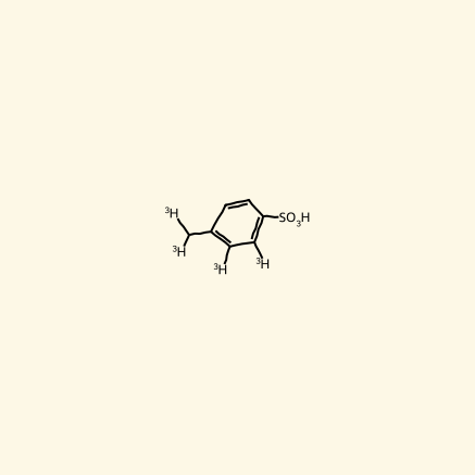 [3H]c1c(C([3H])[3H])ccc(S(=O)(=O)O)c1[3H]